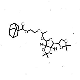 CC(OCCOC(=O)C12CC3CC(CC(C3)C1)C2)OC1O[C@H](C2COC(C)(C)O2)[C@@H]2OC(C)(C)O[C@H]12